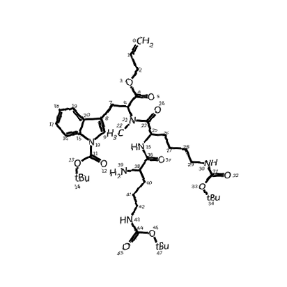 C=CCOC(=O)C(Cc1cn(C(=O)OC(C)(C)C)c2ccccc12)N(C)C(=O)C(CCCCNC(=O)OC(C)(C)C)NC(=O)C(N)CCCNC(=O)OC(C)(C)C